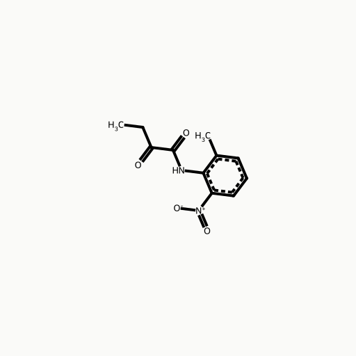 CCC(=O)C(=O)Nc1c(C)cccc1[N+](=O)[O-]